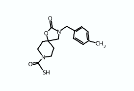 Cc1ccc(CN2CC3(CCN(C(=O)S)CC3)OC2=O)cc1